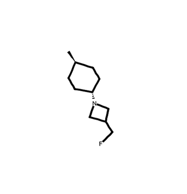 C[C@H]1CC[C@H](N2CC(CF)C2)CC1